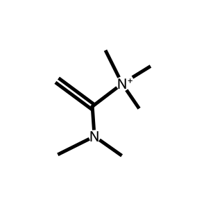 C=C(N(C)C)[N+](C)(C)C